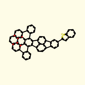 c1ccc(-c2ccccc2-c2c3c(c(-c4ccccc4-c4ccccc4)c4cc5ccccc5cc24)-c2ccc4c5c(ccc-3c25)-c2ccc(-c3cc5ccccc5s3)cc2-4)cc1